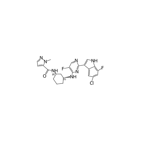 Cn1nccc1C(=O)N[C@@H]1CCC[C@H](Nc2nc(-c3c[nH]c4c(F)cc(Cl)cc34)ncc2F)C1